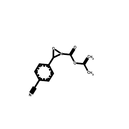 C=C(C)OC(=O)N1OC1c1ccc(C#N)cc1